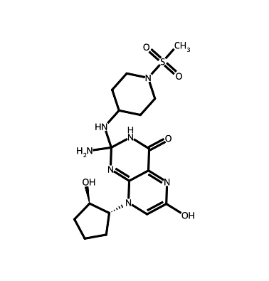 CS(=O)(=O)N1CCC(NC2(N)N=C3C(=NC(O)=CN3[C@@H]3CCC[C@H]3O)C(=O)N2)CC1